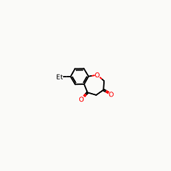 CCc1ccc2c(c1)C(=O)CC(=O)CO2